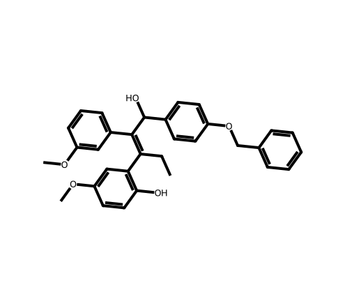 CCC(=C(c1cccc(OC)c1)C(O)c1ccc(OCc2ccccc2)cc1)c1cc(OC)ccc1O